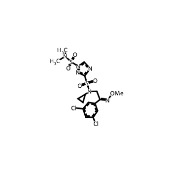 CO/N=C(\CN(C1CC1)S(=O)(=O)c1ncn(S(=O)(=O)N(C)C)n1)c1cc(Cl)cc(Cl)c1